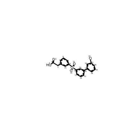 O=C(O)Cc1cccc(S(=O)(=O)c2cccc(-c3cccc(Cl)c3)c2)c1